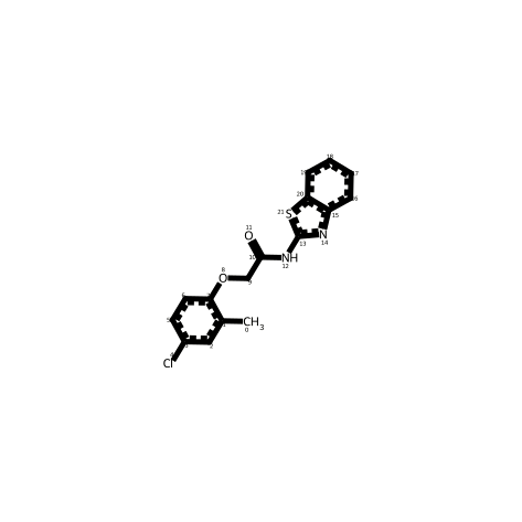 Cc1cc(Cl)ccc1OCC(=O)Nc1nc2ccccc2s1